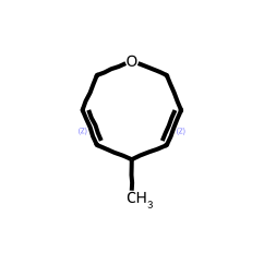 CC1/C=C\COC/C=C\1